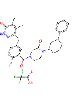 Cc1c(Cc2ccc(F)c(C(=O)N3CCN(C4CCCC(c5ccccc5)C4)C(=O)C3)c2)n[nH]c(=O)c1C.O=C(O)C(F)(F)F